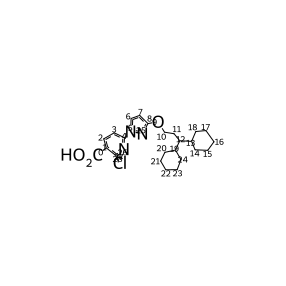 O=C(O)c1ccc(-n2ccc(OCCC(C3CCCCC3)C3CCCCC3)n2)nc1Cl